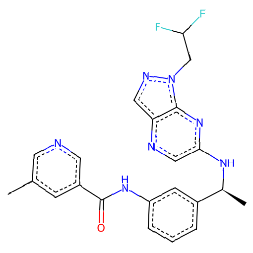 Cc1cncc(C(=O)Nc2cccc([C@H](C)Nc3cnc4cnn(CC(F)F)c4n3)c2)c1